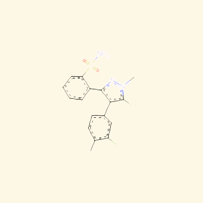 Cc1ccc(-c2c(-c3ccccc3S(N)(=O)=O)nn(C)c2C(F)(F)F)cc1F